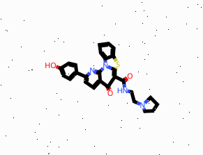 O=C(NCCN1CCCC1)c1c(=O)c2ccc(-c3ccc(O)cc3)nc2n2c1sc1ccccc12